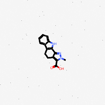 Cn1nc2c(c1C(=O)O)CCc1c-2[nH]c2ccccc12